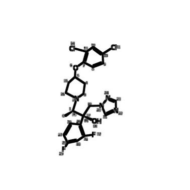 C[C@@H](N1CCC(Oc2ccc(Cl)cc2Cl)CC1)[C@](O)(Cn1cncn1)c1ccc(F)cc1F